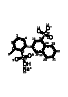 Cc1ccccc1S(=O)(=O)O.O=S(=O)([O-])c1cccc2ccccc12.[Na+]